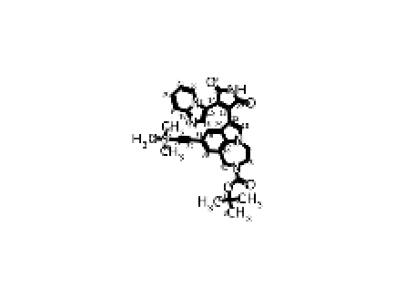 CC(C)(C)OC(=O)N1CCn2cc(C3=C(c4cnc5ccccn45)C(=O)NC3=O)c3cc(C#CS(C)(C)C)cc(c32)C1